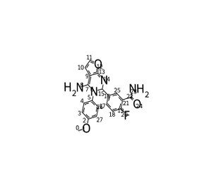 COc1ccc(N2C(N)=c3ccoc3=NC2c2ccc(F)c(C(N)=O)c2)cc1